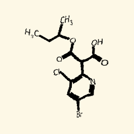 CCC(C)OC(=O)C(C(=O)O)c1ncc(Br)cc1Cl